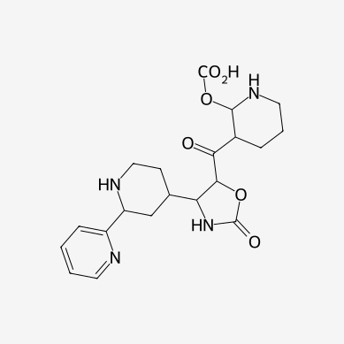 O=C(O)OC1NCCCC1C(=O)C1OC(=O)NC1C1CCNC(c2ccccn2)C1